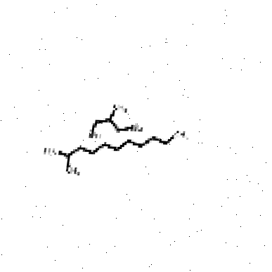 CC(CC(C)(C)C)CC(C)(C)C.CCCCCCCCCC(C)C